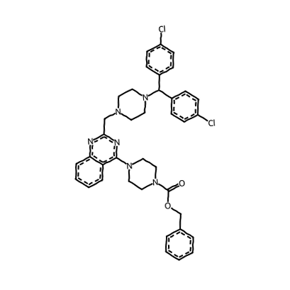 O=C(OCc1ccccc1)N1CCN(c2nc(CN3CCN(C(c4ccc(Cl)cc4)c4ccc(Cl)cc4)CC3)nc3ccccc23)CC1